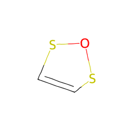 C1=CSOS1